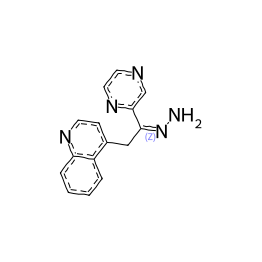 N/N=C(/Cc1ccnc2ccccc12)c1cnccn1